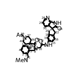 CNCc1ccccc1CN(CC(=O)Nc1ccc2c(c1)C[C@@]1(C2)C(=O)Nc2ncccc21)C(=O)C1(C(C)C)CCN(C(C)=O)CC1